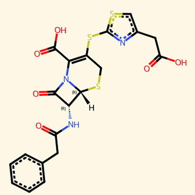 O=C(O)Cc1csc(SC2=C(C(=O)O)N3C(=O)[C@@H](NC(=O)Cc4ccccc4)[C@H]3SC2)n1